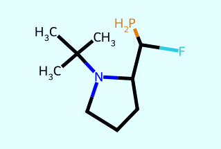 CC(C)(C)N1CCCC1C(F)P